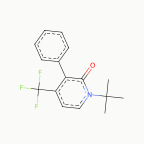 CC(C)(C)n1ccc(C(F)(F)F)c(-c2ccccc2)c1=O